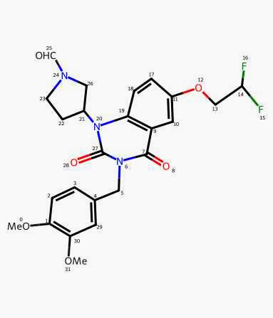 COc1ccc(Cn2c(=O)c3cc(OCC(F)F)ccc3n(C3CCN(C=O)C3)c2=O)cc1OC